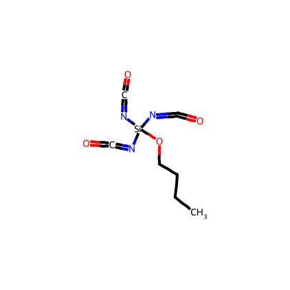 CCCCO[Si](N=C=O)(N=C=O)N=C=O